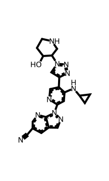 N#Cc1cnc2c(cnn2-c2cc(NC3CC3)c(-c3cn(C4CNCCC4O)nn3)cn2)c1